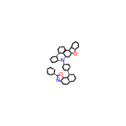 c1ccc(-c2nc3ccc4cccc(-c5ccc(N(c6ccc7c(c6)oc6ccccc67)c6ccccc6-c6ccccc6)cc5)c4c3o2)cc1